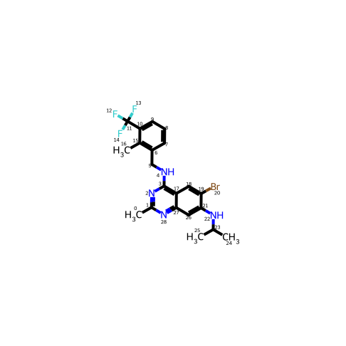 Cc1nc(NCc2cccc(C(F)(F)F)c2C)c2cc(Br)c(NC(C)C)cc2n1